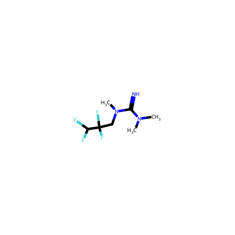 CN(C)C(=N)N(C)CC(F)(F)C(F)F